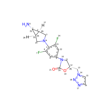 N[C@@H]1[C@H]2CN(c3c(F)cc(N4C[C@H](Cn5ccnn5)OC4=O)cc3F)C[C@@H]12